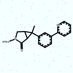 CCCCCCN1CC2C(C1=O)C2(C)c1cccc(-c2ccccn2)c1